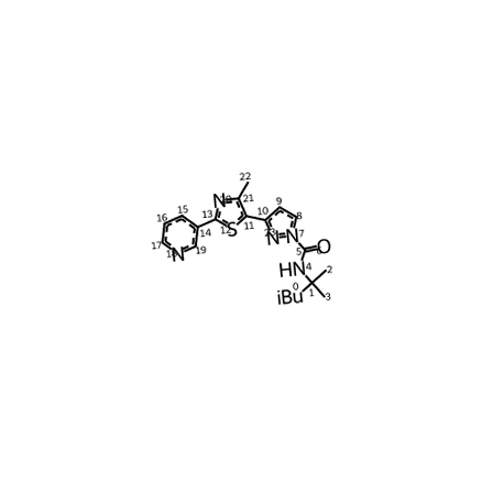 CCC(C)C(C)(C)NC(=O)n1ccc(-c2sc(-c3cccnc3)nc2C)n1